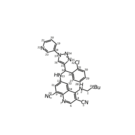 CC(C)(C)CNc1c(C#N)cnc2c(C#N)cc(NC(c3cn(-c4cccnc4)nn3)c3ccccc3Cl)cc12